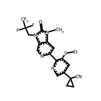 CCSc1cc(C2(C#N)CC2)cnc1-c1cc2c(cn1)n(CC(F)(F)C(F)(F)F)c(=O)n2C